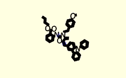 C=c1/c(=C\c2ccc3c(c2)c2ccccc2n3-c2ccccc2)o/c(=N\c2ccccc2C(=O)OCCCC)n1CCc1ccc(OC)cc1